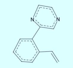 C=Cc1ccccc1-c1cnccn1